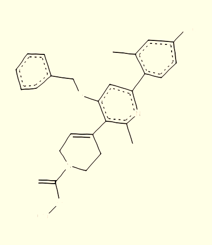 Cc1cc(C(C)(C)C)ccc1-c1cc(OCc2ccccc2)c(C2=CCN(C(=O)OC(C)(C)C)CC2)c(C)n1